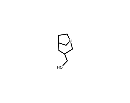 OCC1CC2CCN(C1)C2